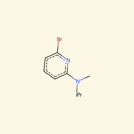 CC(C)N(C)c1cccc(Br)n1